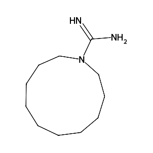 N=C(N)N1CCCCCCCCCC1